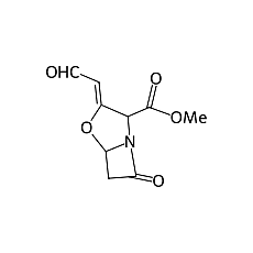 COC(=O)C1C(=CC=O)OC2CC(=O)N21